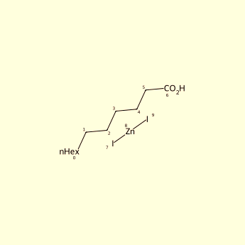 CCCCCCCCCCCC(=O)O.[I][Zn][I]